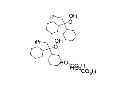 CC(C)CC(OO)(C1CCCCC1)C1CCCCC1.CC(C)CC(OO)(C1CCCCC1)C1CCCCC1.O=C(O)O.O=C(O)O